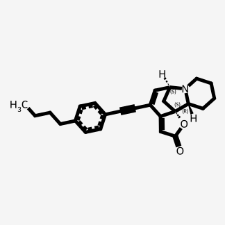 CCCCc1ccc(C#CC2=C[C@@H]3C[C@@]4(OC(=O)C=C24)[C@H]2CCCCN32)cc1